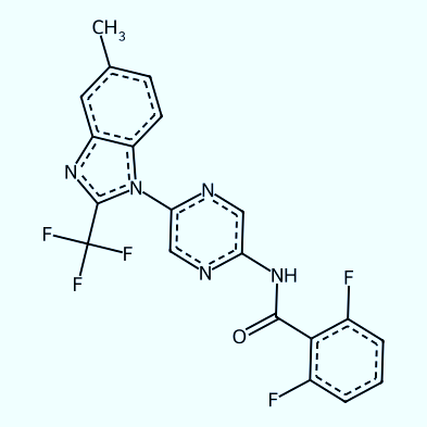 Cc1ccc2c(c1)nc(C(F)(F)F)n2-c1cnc(NC(=O)c2c(F)cccc2F)cn1